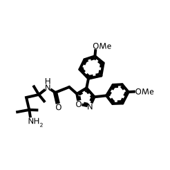 COc1ccc(-c2noc(CC(=O)NC(C)(C)CC(C)(C)N)c2-c2ccc(OC)cc2)cc1